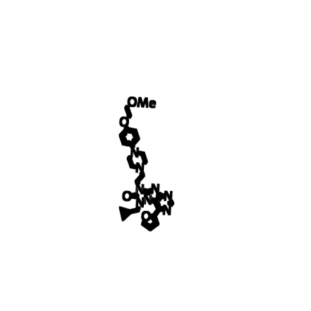 COCCOc1ccc(N2CCN(CCn3c(=O)n(CC4CC4)n4c5c(-c6ccco6)ncnc5nc34)CC2)cc1